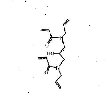 C=CCN(CC(O)CN(CC=C)C(=O)C=C)C(=O)C=C